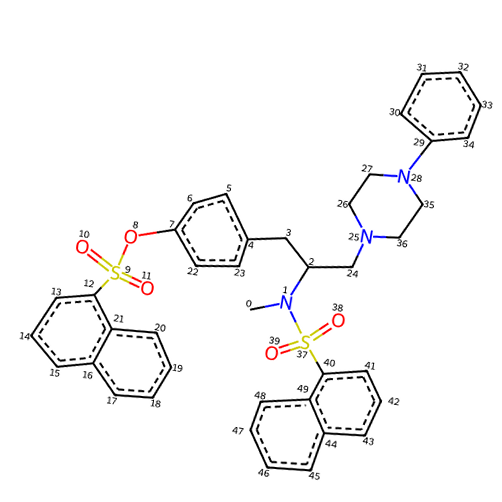 CN(C(Cc1ccc(OS(=O)(=O)c2cccc3ccccc23)cc1)CN1CCN(c2ccccc2)CC1)S(=O)(=O)c1cccc2ccccc12